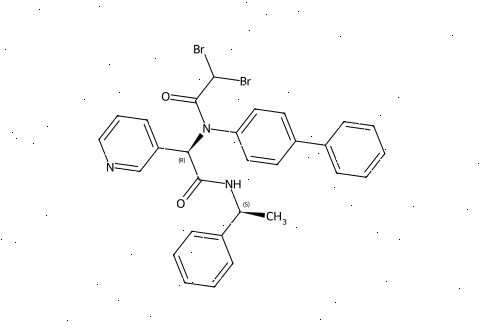 C[C@H](NC(=O)[C@@H](c1cccnc1)N(C(=O)C(Br)Br)c1ccc(-c2ccccc2)cc1)c1ccccc1